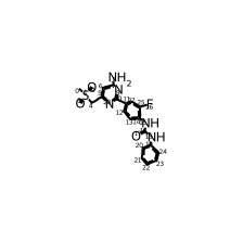 CS(=O)(=O)Cc1cc(N)nc(-c2ccc(NC(=O)Nc3ccccc3)c(F)c2)n1